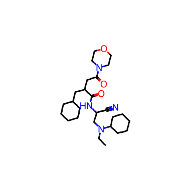 CCN(CC(C#N)NC(=O)C(CC(=O)N1CCOCC1)CC1CCCCC1)C1CCCCC1